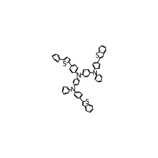 c1ccc(-c2ccc(-c3ccc(N(c4ccc(N(c5ccccc5)c5ccc(-c6cc7ccccc7s6)cc5)cc4)c4ccc(N(c5ccccc5)c5ccc(-c6cc7ccccc7s6)cc5)cc4)cc3)s2)cc1